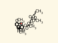 CCCCOC(=O)[C@H](CC(=O)O[C@@H](C)C(=O)OC1=CC[C@@]2(O)[C@H]3Cc4ccc(OC)c5c4[C@@]2(CCN3C)[C@H]1O5)OC(C)=O